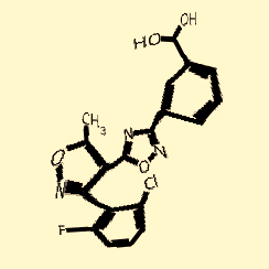 Cc1onc(-c2c(F)cccc2Cl)c1-c1nc(-c2cccc(C(O)O)c2)no1